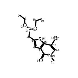 CCOP(Cc1cc2c(=O)n(C)cc(Br)c2s1)OCC